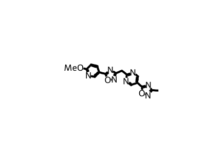 COc1ccc(-c2nc(Cc3ncc(-c4nc(C)no4)cn3)no2)cn1